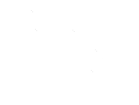 O=C(Nc1ccccc1-c1nc2cc(CN3CCNCC3)ccc2s1)c1ccc2ccccc2n1